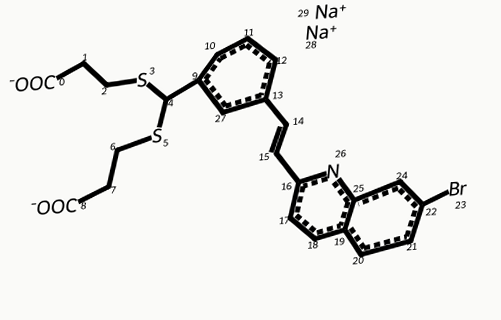 O=C([O-])CCSC(SCCC(=O)[O-])c1cccc(C=Cc2ccc3ccc(Br)cc3n2)c1.[Na+].[Na+]